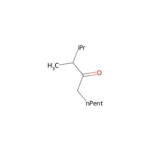 CCCCCCC(=O)C(C)C(C)C